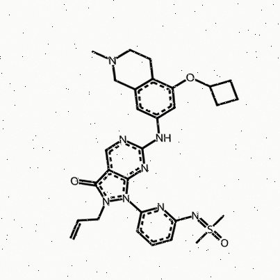 C=CCn1c(=O)c2cnc(Nc3cc4c(c(OC5CCC5)c3)CCN(C)C4)nc2n1-c1cccc(N=S(C)(C)=O)n1